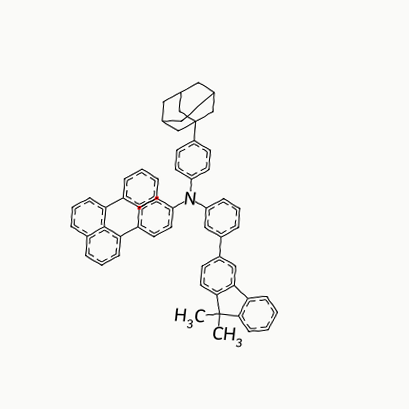 CC1(C)c2ccccc2-c2cc(-c3cccc(N(c4ccc(-c5cccc6cccc(-c7ccccc7)c56)cc4)c4ccc(C56CC7CC(CC(C7)C5)C6)cc4)c3)ccc21